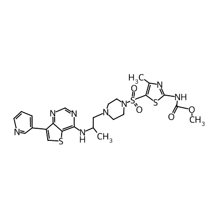 COC(=O)Nc1nc(C)c(S(=O)(=O)N2CCN(CC(C)Nc3ncnc4c(-c5cccnc5)csc34)CC2)s1